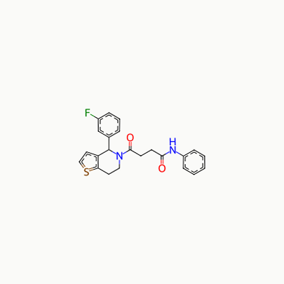 O=C(CCC(=O)N1CCc2sccc2C1c1cccc(F)c1)Nc1ccccc1